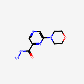 NNC(=O)c1cncc(N2CCOCC2)n1